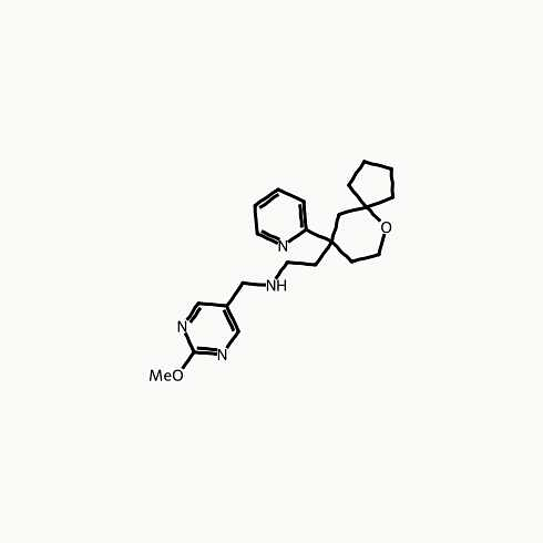 COc1ncc(CNCCC2(c3ccccn3)CCOC3(CCCC3)C2)cn1